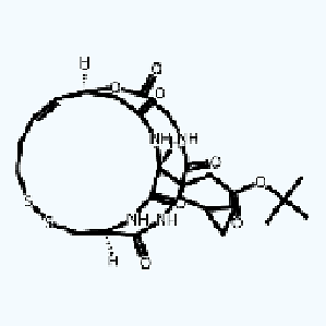 CC(C)(C)OC(=O)CC[C@H]1NC(=O)C[C@H]2C=CCCSSC[C@@H](NC1=O)C(=O)NC(C1CC1)C(=O)NCC(=O)O2